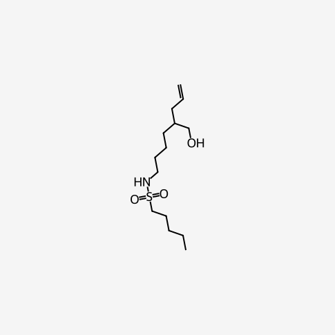 C=CCC(CO)CCCCNS(=O)(=O)CCCCC